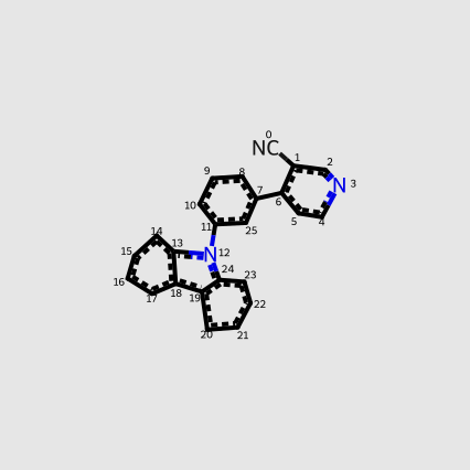 N#Cc1cnccc1-c1cccc(-n2c3ccccc3c3ccccc32)c1